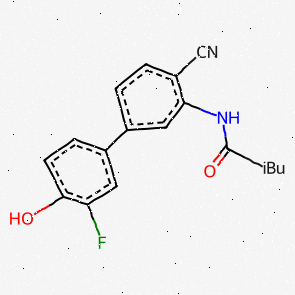 CCC(C)C(=O)Nc1cc(-c2ccc(O)c(F)c2)ccc1C#N